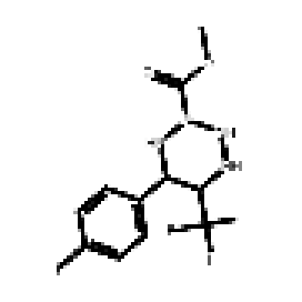 COC(=O)N1NNC(C(F)(F)F)C(c2ccc(I)cc2)N1